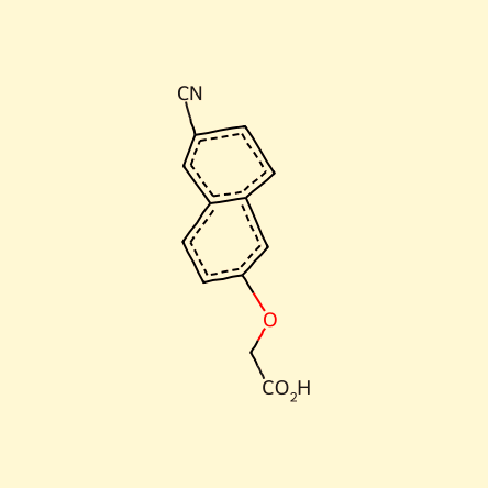 N#Cc1ccc2cc(OCC(=O)O)ccc2c1